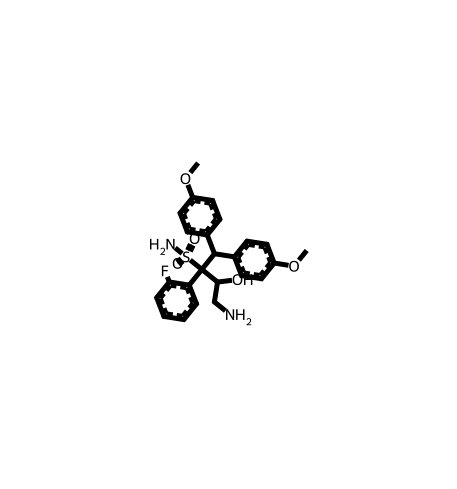 COc1ccc(C(c2ccc(OC)cc2)C(c2ccccc2F)(C(O)CN)S(N)(=O)=O)cc1